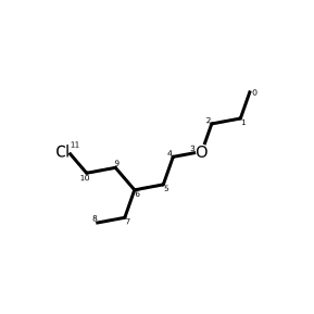 CCCOCCC(CC)CCCl